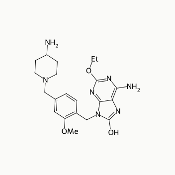 CCOc1nc(N)c2nc(O)n(Cc3ccc(CN4CCC(N)CC4)cc3OC)c2n1